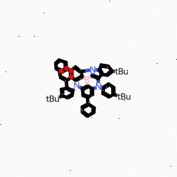 CC(C)(C)c1ccc(N2c3cc(-c4ccccc4)cc4c3B3c5c(cc(-c6ccccc6)cc5-n5c3c2c2cc(C(C)(C)C)ccc25)N4c2ccc(C(C)(C)C)cc2-c2ccccc2)cc1